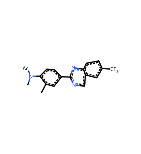 CC(=O)N(C)c1ccc(-c2ncc3cc(C(F)(F)F)ccc3n2)cc1C